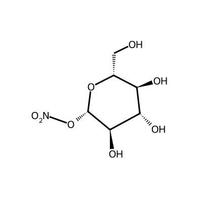 O=[N+]([O-])O[C@@H]1O[C@H](CO)[C@@H](O)[C@H](O)[C@H]1O